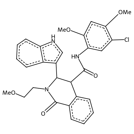 COCCN1C(=O)c2ccccc2C(C(=O)Nc2cc(Cl)c(OC)cc2OC)C1c1c[nH]c2ccccc12